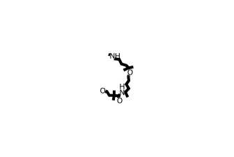 CNCCCCC(C)(C)OCCCCC(C)NC(=O)C(C)(C)CC=O